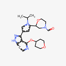 CC(C)n1cc(-c2n[nH]c3ccnc(OC4CCOCC4)c23)cc1C1CN(C=O)CCO1